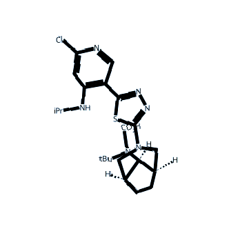 CC(C)Nc1cc(Cl)ncc1-c1nnc(N2C[C@H]3CC[C@@H](C2)[C@H]3N(C(=O)O)C(C)(C)C)s1